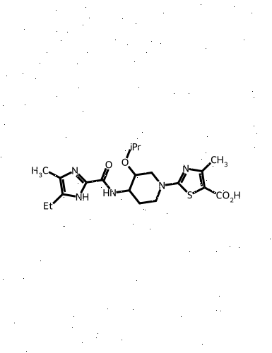 CCc1[nH]c(C(=O)NC2CCN(c3nc(C)c(C(=O)O)s3)CC2OC(C)C)nc1C